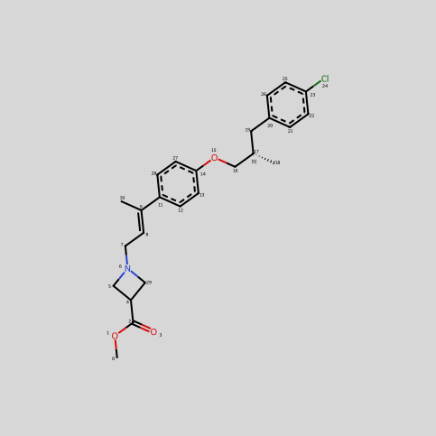 COC(=O)C1CN(CC=C(C)c2ccc(OC[C@@H](C)Cc3ccc(Cl)cc3)cc2)C1